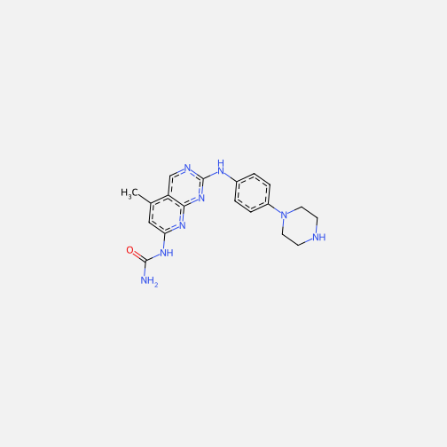 Cc1cc(NC(N)=O)nc2nc(Nc3ccc(N4CCNCC4)cc3)ncc12